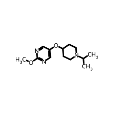 COc1ncc(OC2CCN(C(C)C)CC2)cn1